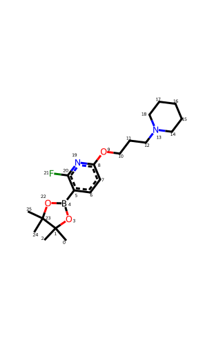 CC1(C)OB(c2ccc(OCCCN3CCCCC3)nc2F)OC1(C)C